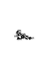 N#Cc1cc(Nc2nc(NC3CC3)c3ncc(C#N)n3n2)c(Cl)c(N2CCN(C3CNC3)CC2)c1